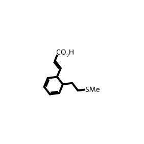 CSCCC1C=CC=CC1C=CC(=O)O